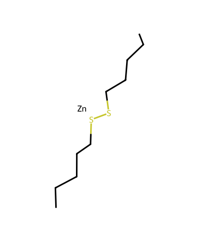 CCCCCSSCCCCC.[Zn]